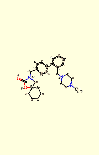 CN1CCN(Cc2ccccc2-c2ccc(CN3CC4(CCCCC4)OC3=O)cc2)CC1